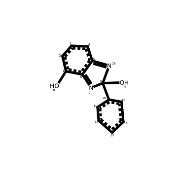 Oc1cccc2c1=NC(O)(c1ccccc1)N=2